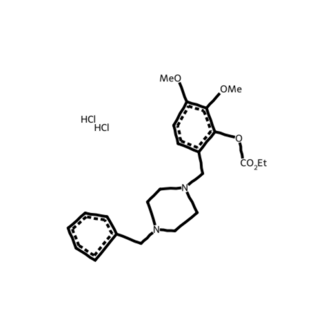 CCOC(=O)Oc1c(CN2CCN(Cc3ccccc3)CC2)ccc(OC)c1OC.Cl.Cl